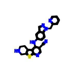 N#Cc1cnc2sc3c(c2c1Nc1ccc2c(cnn2Cc2ccccn2)c1)CCNC3